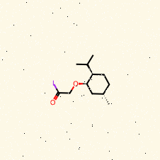 CC(C)[C@H]1CC[C@H](C)C[C@H]1OCC(=O)I